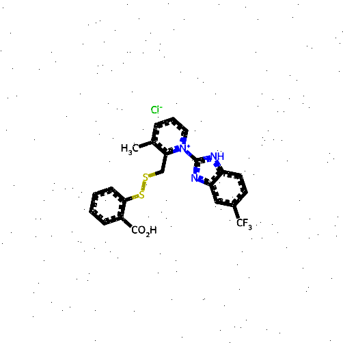 Cc1ccc[n+](-c2nc3cc(C(F)(F)F)ccc3[nH]2)c1CSSc1ccccc1C(=O)O.[Cl-]